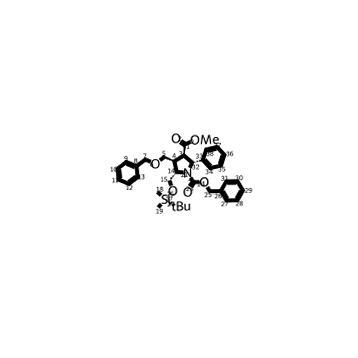 COC(=O)[C@@H]1[C@H](COCc2ccccc2)[C@@H](CO[Si](C)(C)C(C)(C)C)N(C(=O)OCc2ccccc2)[C@H]1c1ccccc1